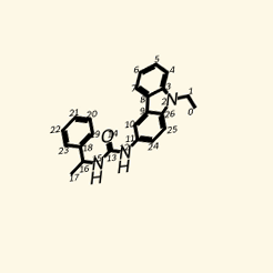 CCn1c2ccccc2c2cc(NC(=O)NC(C)c3ccccc3)ccc21